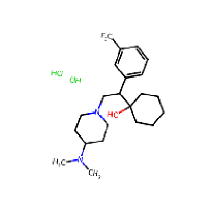 CN(C)C1CCN(CC(c2cccc(C(F)(F)F)c2)C2(O)CCCCC2)CC1.Cl.Cl